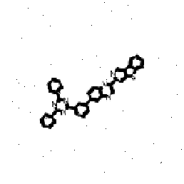 c1ccc(-c2nc(-c3ccccc3)nc(-c3cccc(-c4ccc5nc(-c6cc7sc8ccccc8c7cn6)cnc5c4)c3)n2)cc1